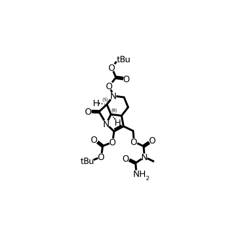 CN(C(N)=O)C(=O)OCC1=C(OC(=O)OC(C)(C)C)N2C(=O)[C@@H]3[C@H]2C1CCN3OC(=O)OC(C)(C)C